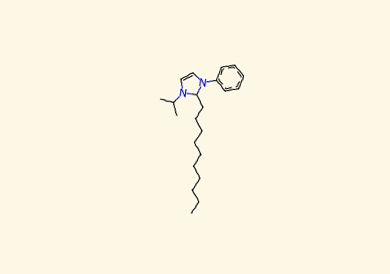 CCCCCCCCCCC1N(c2ccccc2)C=CN1C(C)C